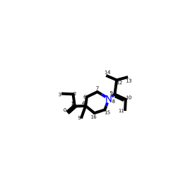 C=C(CC)C1(C)CCN(/C(=C\C)C(C)C)CC1